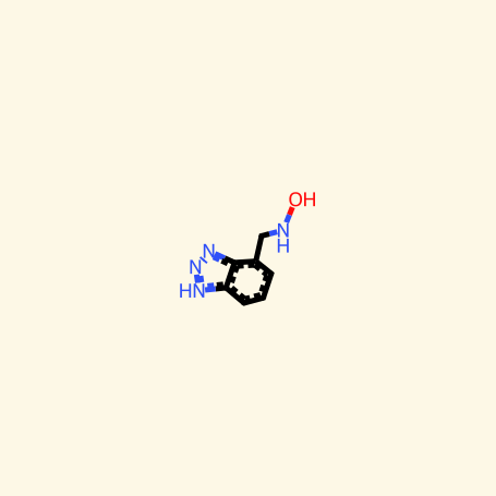 ONCc1cccc2[nH]nnc12